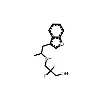 CC(Cc1coc2ccccc12)NCC(F)(F)CO